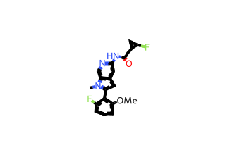 COc1cccc(F)c1-c1cc2cc(NC(=O)C3CC3F)ncc2n1C